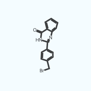 O=c1[nH]c(-c2ccc(CBr)cc2)nc2ccccc12